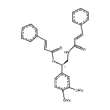 COc1ccc([C@H](CNC(=O)C=Cc2ccccc2)OC(=O)C=Cc2ccccc2)cc1OC